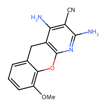 COc1cccc2c1Oc1nc(N)c(C#N)c(N)c1C2